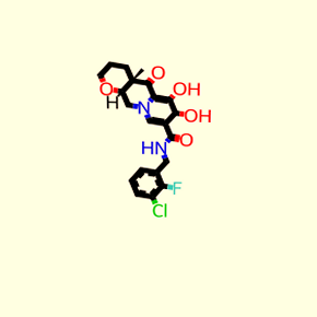 C[C@]12CCCO[C@@H]1CN1C=C(C(=O)NCc3cccc(Cl)c3F)C(O)C(O)=C1C2=O